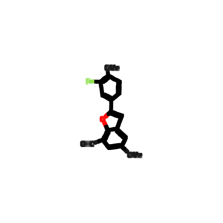 COc1cc(C=O)c2oc(-c3ccc(OC)c(F)c3)cc2c1